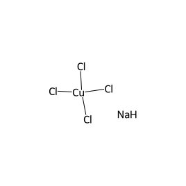 [Cl][Cu]([Cl])([Cl])[Cl].[NaH]